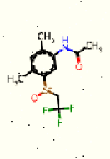 CC(=O)Nc1cc([S+]([O-])CC(F)(F)F)c(C)cc1C